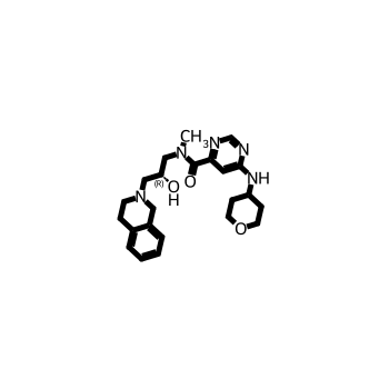 CN(C[C@H](O)CN1CCc2ccccc2C1)C(=O)c1cc(NC2CCOCC2)ncn1